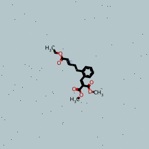 CCOC(=O)/C=C/CCc1ccccc1C=C(C(=O)OC)C(=O)OC